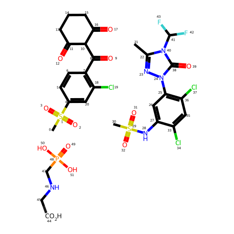 CS(=O)(=O)c1ccc(C(=O)C2C(=O)CCCC2=O)c(Cl)c1.Cc1nn(-c2cc(NS(C)(=O)=O)c(Cl)cc2Cl)c(=O)n1C(F)F.O=C(O)CNCP(=O)(O)O